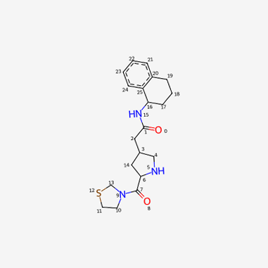 O=C(CC1CNC(C(=O)N2CCSC2)C1)NC1CCCc2ccccc21